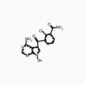 CC(C)n1cc(C(=O)c2cccc(C(N)=O)c2Cl)c2c(N)ncnc21